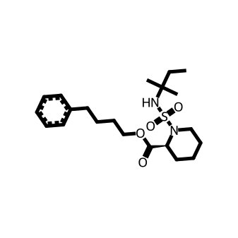 CCC(C)(C)NS(=O)(=O)N1CCCC[C@H]1C(=O)OCCCCc1ccccc1